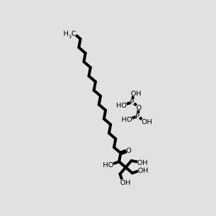 CCCCCCCCCCCCCCCCCC(=O)C(O)C(CO)(CO)CO.OP(O)OP(O)O